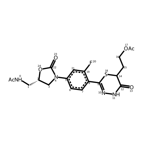 CC(=O)NC[C@H]1CN(c2ccc(C3=NNC(=O)C(CCOC(C)=O)S3)c(F)c2)C(=O)O1